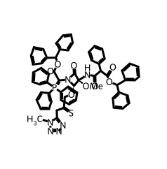 CO[C@]1(NC(=O)C(C(=O)OC(c2ccccc2)c2ccccc2)c2ccccc2)C(=O)N(C(C(=O)OC(c2ccccc2)c2ccccc2)=P(c2ccccc2)(c2ccccc2)c2ccccc2)[C@H]1OCC(=S)Cc1nnnn1C